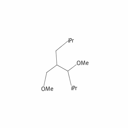 COCC(CC(C)C)C(OC)C(C)C